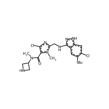 CN(C(=O)c1c(Cl)nc(CNc2n[nH]c3cc(Cl)c(C(C)(C)C)cc23)n1C)C1CNC1